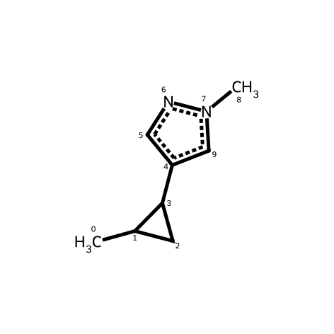 CC1CC1c1cnn(C)c1